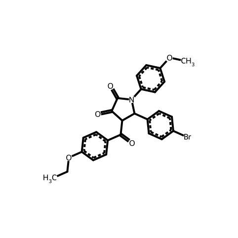 CCOc1ccc(C(=O)C2C(=O)C(=O)N(c3ccc(OC)cc3)C2c2ccc(Br)cc2)cc1